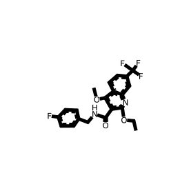 CCOc1nc2cc(C(F)(F)F)ccc2c(OC)c1C(=O)NCc1ccc(F)cc1